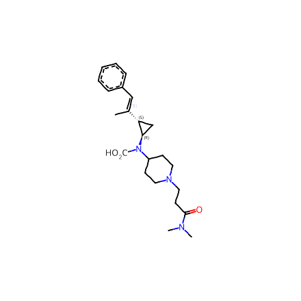 C/C(=C\c1ccccc1)[C@@H]1C[C@H]1N(C(=O)O)C1CCN(CCC(=O)N(C)C)CC1